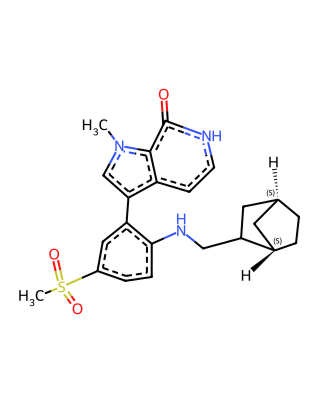 Cn1cc(-c2cc(S(C)(=O)=O)ccc2NCC2C[C@H]3CC[C@H]2C3)c2cc[nH]c(=O)c21